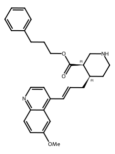 COc1ccc2nccc(C=CC[C@@H]3CCNC[C@@H]3C(=O)OCCCc3ccccc3)c2c1